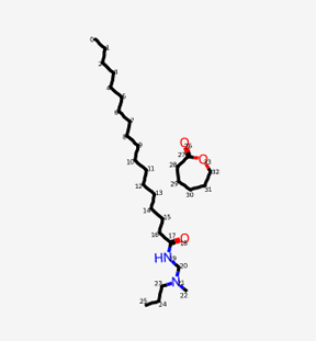 CCCCCCCCCCCCCCCCCC(=O)NCN(C)CCC.O=C1CCCCCO1